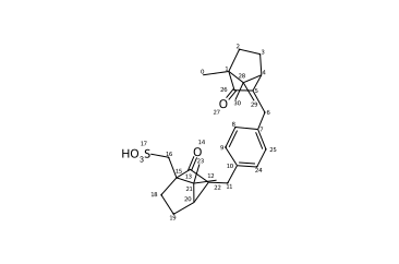 CC12CCC(C(Cc3ccc(CC4C(=O)C5(CS(=O)(=O)O)CCC4C5(C)C)cc3)C1=O)C2(C)C